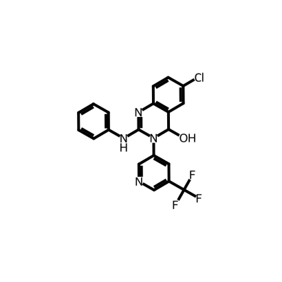 OC1c2cc(Cl)ccc2N=C(Nc2ccccc2)N1c1cncc(C(F)(F)F)c1